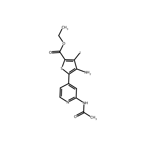 CCOC(=O)c1sc(-c2ccnc(NC(C)=O)c2)c(N)c1I